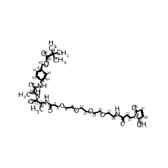 C[C@H](NC(=O)CCOCCOCCOCCOCCNC(=O)CCN1C(=O)C=CC1O)C(=O)N[C@@H](C)C(=O)Nc1ccc(COC(=O)C(C)(C)C)cc1